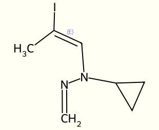 C=NN(/C=C(\C)I)C1CC1